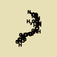 CNc1cc(N2CCc3cc(C#N)cnc32)ncc1-c1nnc(C2CCC(NC(=O)CN3CCN(c4ccc5c(c4)C(=O)N(C4CCC(=O)NC4=O)C5=O)CC3)CC2)s1